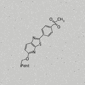 CCCC(C)COc1ccc2nc(-c3ccc(S(C)(=O)=O)cc3)sc2n1